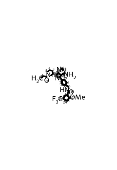 C=CC(=O)N1CCC[C@@H](n2nc(-c3ccc(CNC(=O)c4cc(C(F)(F)F)ccc4OC)cc3)c3c(N)ncnc32)C1